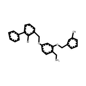 N#Cc1cccc(COc2cc(OCc3cccc(-c4ccccc4)c3Br)ccc2CN)c1